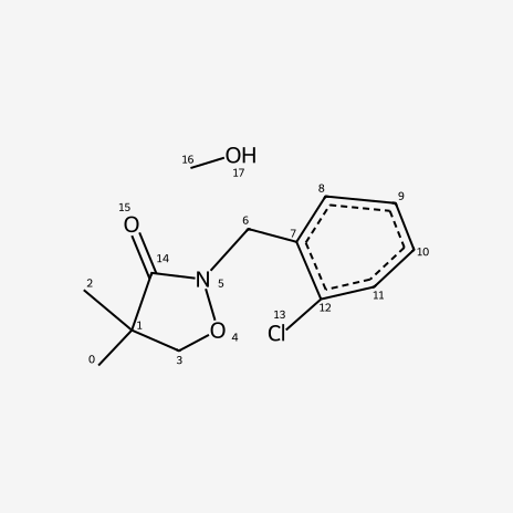 CC1(C)CON(Cc2ccccc2Cl)C1=O.CO